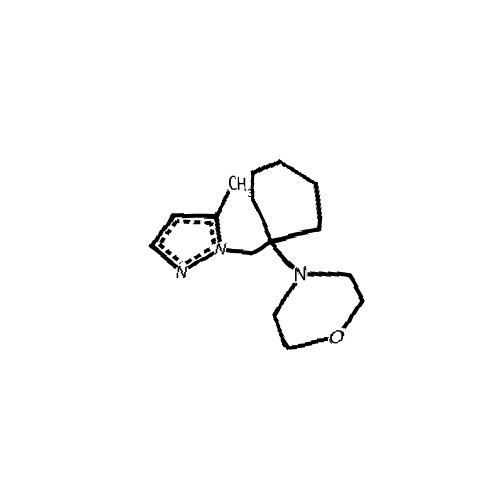 Cc1ccnn1CC1(N2CCOCC2)CCCCC1